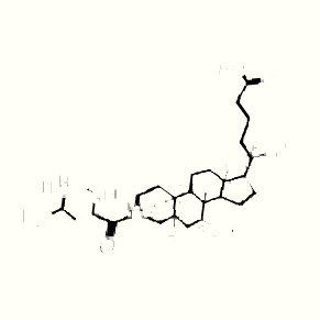 CN[C@@H](CC(C)C)C(=O)N1CC[C@@]2(C)[C@H](C[C@H](O)[C@@H]3[C@@H]2CC[C@]2(C)[C@@H]([C@H](C)CCCC(=O)O)CC[C@@H]32)C1